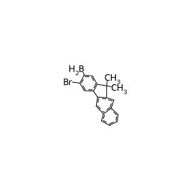 Bc1cc2c(cc1Br)-c1cc3ccccc3cc1C2(C)C